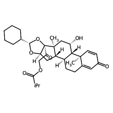 CC(C)C(=O)OCC(=O)[C@@]12O[C@@H](C3CCCCC3)O[C@@H]1C[C@H]1[C@@H]3CCC4=CC(=O)C=C[C@]4(C)[C@H]3[C@@H](O)C[C@@]12C